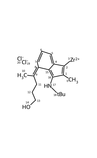 CC1=[C]([Zr+2])c2cccc(=C(C)CCCO)c2=C1NC(C)(C)C.[Cl-].[Cl-]